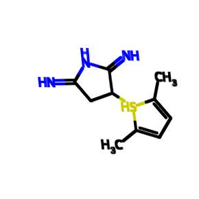 CC1=CC=C(C)[SH]1C1CC(=N)NC1=N